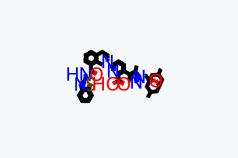 Cc1c(-c2ccc(N3CCc4cccc(C(=O)Nc5nc6ccccc6s5)c4C3)nc2C(=O)O)cnn1CC12CC(C)CC(CC(C)C1)O2